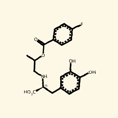 CC(CN[C@@H](Cc1ccc(O)c(O)c1)C(=O)O)OC(=O)c1ccc(F)cc1